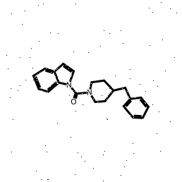 O=C(N1CCC(Cc2ccccc2)CC1)n1ccc2ccccc21